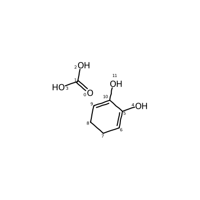 O=C(O)O.OC1=CCCC=C1O